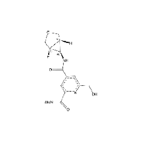 CNC(=O)c1cc(C(=O)N[C@H]2[C@@H]3COC[C@@H]32)cc(CO)n1